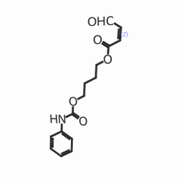 O=C/C=C\C(=O)OCCCCOC(=O)Nc1ccccc1